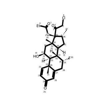 CCC(=O)O[C@@]1(C(=O)CCl)[C@H](C)C[C@H]2[C@H]3[C@H]([C@@H](O)C[C@@]21C)[C@@]1(C)C=CC(=O)C=C1C[C@H]3F